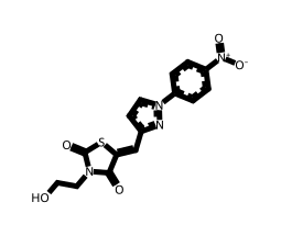 O=C1S/C(=C\c2ccn(-c3ccc([N+](=O)[O-])cc3)n2)C(=O)N1CCO